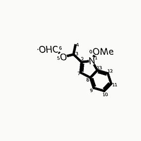 COn1c(C(C)O[C]=O)cc2ccccc21